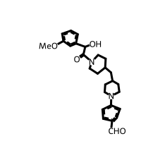 COc1cccc(C(O)C(=O)N2CCC(CC3CCN(c4ccc(C=O)cc4)CC3)CC2)c1